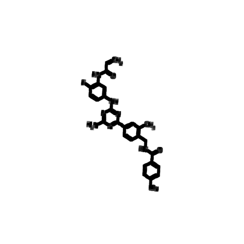 C=CC(=O)Nc1cc(Nc2nc(N)nc(-c3ccc(CNC(=O)c4ccc(C(C)(C)C)cc4)c(C)c3)n2)ccc1F